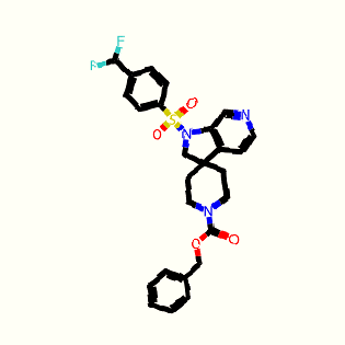 O=C(OCc1ccccc1)N1CCC2(CC1)CN(S(=O)(=O)c1ccc(C(F)F)cc1)c1cnccc12